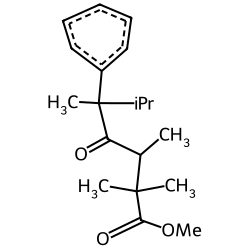 COC(=O)C(C)(C)C(C)C(=O)C(C)(c1ccccc1)C(C)C